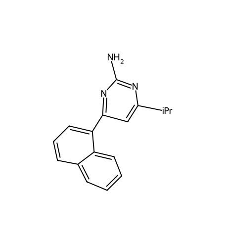 CC(C)c1cc(-c2cccc3ccccc23)nc(N)n1